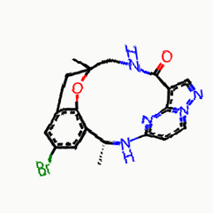 C[C@H]1Nc2ccn3ncc(c3n2)C(=O)NCC2(C)Cc3cc(Br)cc1c3O2